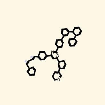 C1=CC(c2ccccc2)C(c2cccc(-c3ccc(-c4nc(-c5ccc(/C=C/C=C\c6ccccc6)cc5)cc(C5C=C(C6=CCCN=C6)C=CC5)n4)cc3)c2)C=C1